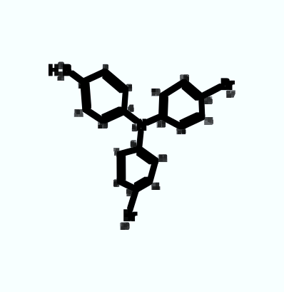 Bc1ccc(N(c2ccc(Br)cc2)c2ccc(Br)cc2)cc1